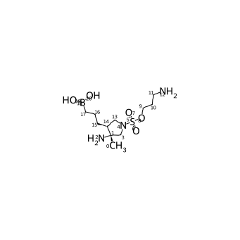 C[C@]1(N)CN(S(=O)(=O)OCCCN)C[C@@H]1CCCB(O)O